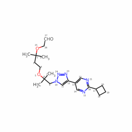 CC(C)(CCOC(C)(C)Cn1cc(-c2cnc(C3CCC3)nc2)nn1)OCC=O